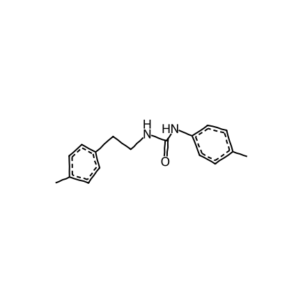 Cc1ccc(CCNC(=O)Nc2ccc(C)cc2)cc1